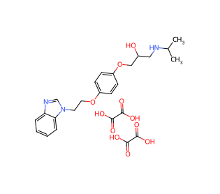 CC(C)NCC(O)COc1ccc(OCCn2cnc3ccccc32)cc1.O=C(O)C(=O)O.O=C(O)C(=O)O